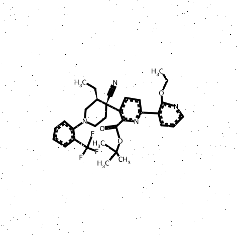 CCOc1ncccc1-c1ccc([C@]2(C#N)CCN(c3ccccc3C(F)(F)F)C[C@H]2CC)c(C(=O)OC(C)(C)C)n1